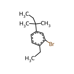 CCc1ccc(C(C)(C)CC)cc1Br